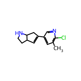 Cc1cc(C2=CC3CCNC3C2)cnc1Cl